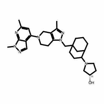 Cc1cc(N2CCc3c(c(C)nn3CC34CCCC(C3)C(N3CC[C@H](O)C3)CC4)C2)c2cnn(C)c2n1